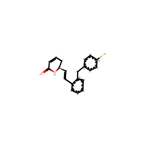 O=C1C=CC[C@@H](/C=C/c2ccccc2Cc2ccc(F)cc2)O1